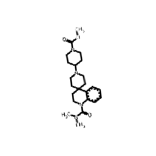 COC(=O)N1CCC(N2CCC3(CCN(C(=O)N(C)C)c4ccccc43)CC2)CC1